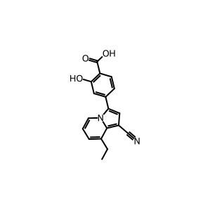 CCc1cccn2c(-c3ccc(C(=O)O)c(O)c3)cc(C#N)c12